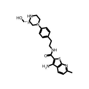 Cc1ccc2c(N)c(C(=O)NCCc3ccc(N4CCN[C@@H](CO)C4)cc3)sc2n1